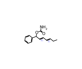 CC/C=C/C=C/C(OC(N)=O)c1ccccc1